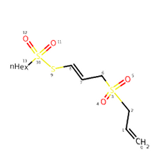 C=CCS(=O)(=O)C/C=C/SS(=O)(=O)CCCCCC